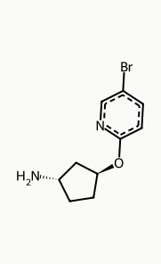 N[C@H]1CC[C@H](Oc2ccc(Br)cn2)C1